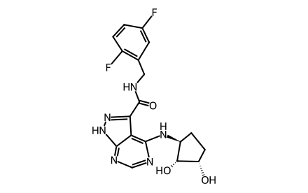 O=C(NCc1cc(F)ccc1F)c1n[nH]c2ncnc(N[C@H]3CC[C@H](O)[C@@H]3O)c12